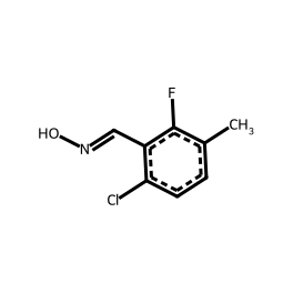 Cc1ccc(Cl)c(/C=N/O)c1F